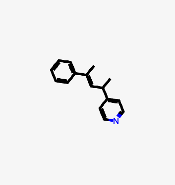 C/C(=C\C(C)c1ccncc1)c1ccccc1